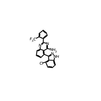 Nc1nc(-c2ccccc2C(F)(F)F)nc2cccc(-c3n[nH]c4cccc(Cl)c34)c12